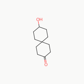 O=C1CCC2(CC1)CCC(O)CC2